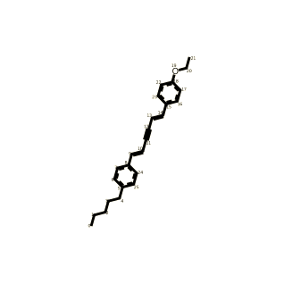 CCCCCc1ccc(/C=C/C#C/C=C/c2ccc(OCC)cc2)cc1